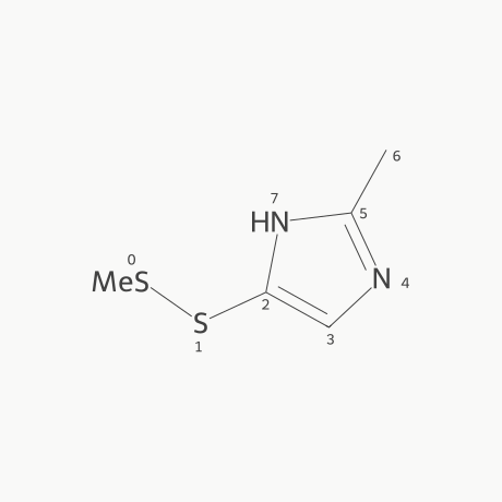 CSSc1cnc(C)[nH]1